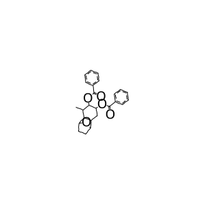 CC1C(OC(=O)c2ccccc2)C(OC(=O)c2ccccc2)CC2C3CCC(O3)C12